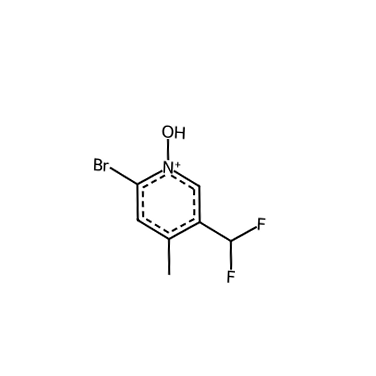 Cc1cc(Br)[n+](O)cc1C(F)F